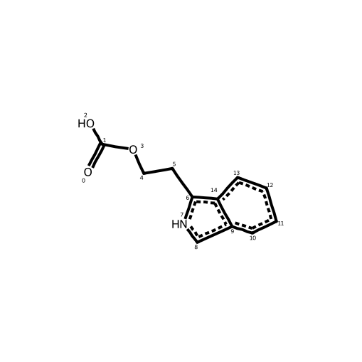 O=C(O)OCCc1[nH]cc2ccccc12